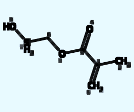 C=C(C)C(=O)OC[SiH2]O